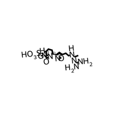 CC(N=C(N)N)NCCc1cc([C@@H]2CC[C@@H]3CN2C(=O)N3OS(=O)(=O)O)no1